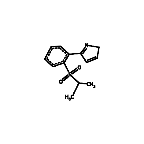 CC(C)S(=O)(=O)c1ccccc1C1=NCC=C1